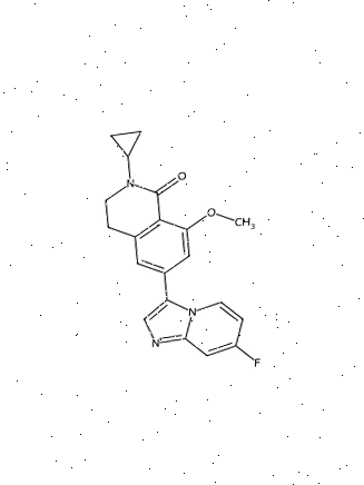 COc1cc(-c2cnc3cc(F)ccn23)cc2c1C(=O)N(C1CC1)CC2